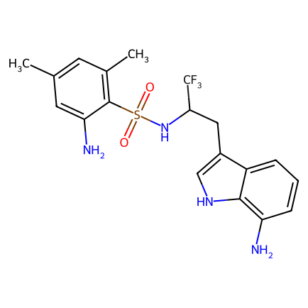 Cc1cc(C)c(S(=O)(=O)NC(Cc2c[nH]c3c(N)cccc23)C(F)(F)F)c(N)c1